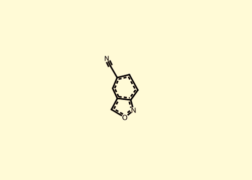 N#Cc1ccc2nocc2c1